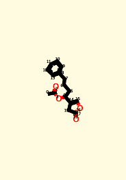 CC(=O)OC(CCCc1ccccc1)C1=COC(=O)C1